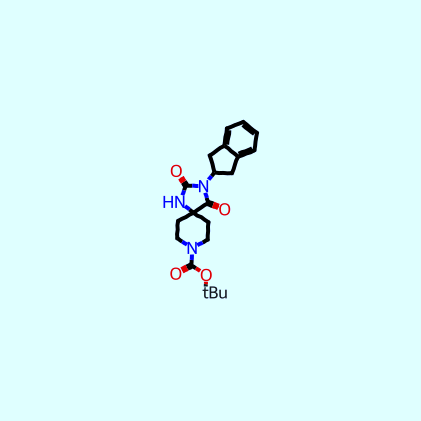 CC(C)(C)OC(=O)N1CCC2(CC1)NC(=O)N(C1Cc3ccccc3C1)C2=O